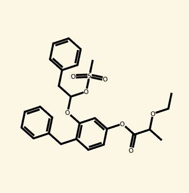 CCOC(C)C(=O)Oc1ccc(Cc2ccccc2)c(OC(Cc2ccccc2)OS(C)(=O)=O)c1